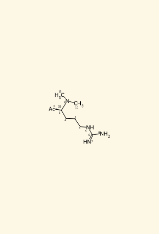 CC(=O)[C@H](CCCNC(=N)N)N(C)C